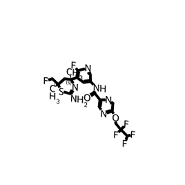 C[C@]1(CF)C[C@@](C)(c2cc(NC(=O)c3cnc(OCC(F)(F)C(F)F)cn3)cnc2F)N=C(N)S1